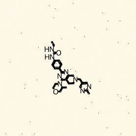 CCNC(=O)Nc1ccc(-c2nc3c(c(N4CCOCC4C)n2)CCN(Cc2cnc(C)nc2)C3)cc1